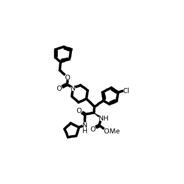 COC(=O)N[C@@H](C(=O)NC1CCCC1)C(c1ccc(Cl)cc1)C1CCN(C(=O)OCc2ccccc2)CC1